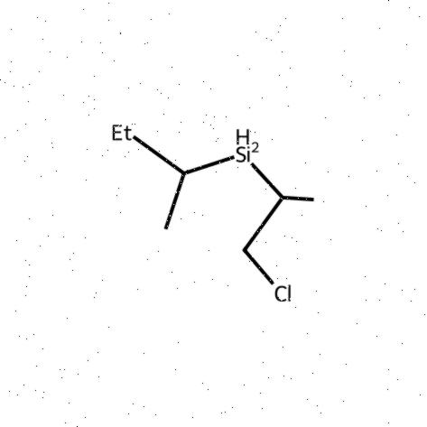 CCC(C)[SiH2]C(C)CCl